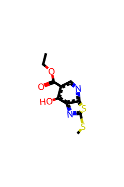 CCOC(=O)c1cnc2sc(SC)nc2c1O